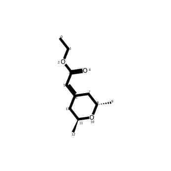 CCOC(=O)C=C1C[C@H](C)O[C@@H](C)C1